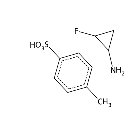 Cc1ccc(S(=O)(=O)O)cc1.NC1CC1F